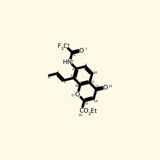 CC=Cc1c(NC(=O)C(F)(F)F)ccc2c(=O)cc(C(=O)OCC)oc12